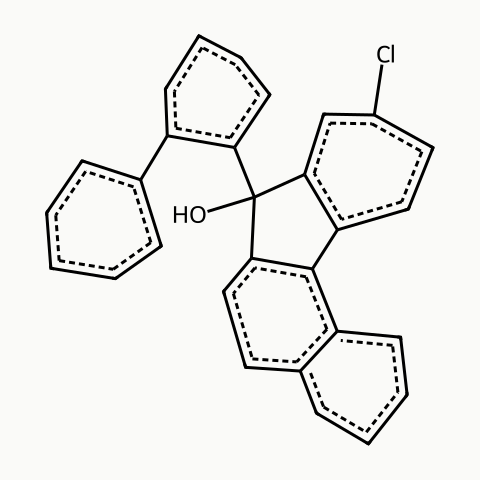 OC1(c2ccccc2-c2ccccc2)c2cc(Cl)ccc2-c2c1ccc1ccccc21